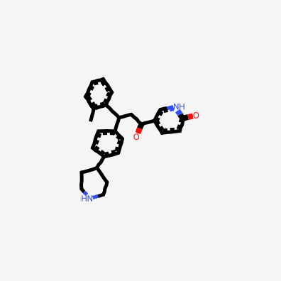 Cc1ccccc1C(CC(=O)c1ccc(=O)[nH]c1)c1ccc(C2CCNCC2)cc1